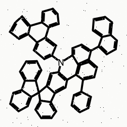 c1ccc(-c2ccccc2-c2cc3c(cc2N(c2ccc(-c4cccc5ccccc45)cc2)c2ccc4c5ccccc5c5ccccc5c4c2)C2(c4ccccc4-c4ccccc42)c2ccccc2-3)cc1